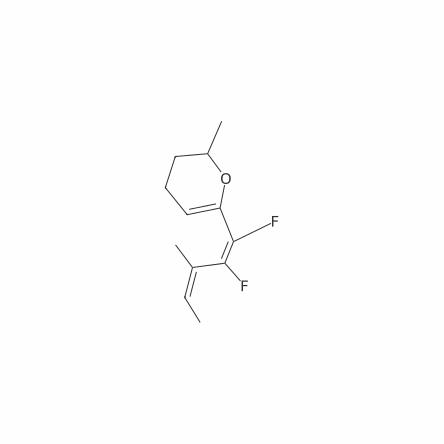 C/C=C(C)\C(F)=C(\F)C1=CCCC(C)O1